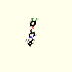 Fc1cc(OCC2CCN(CC3(C(F)(F)F)CCC3)CC2)ccc1Br